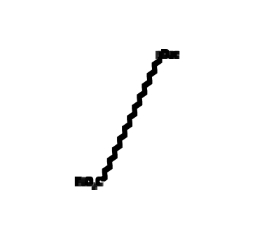 CCCCCCCCCCCCCCCCCCCCCCCCCCCCCCCCCC(=O)OCC